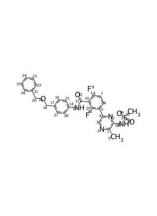 Cc1ncc(-c2ccc(F)c(C(=O)Nc3ccc(COCc4ccccc4)cc3)c2F)nc1NS(C)(=O)=O